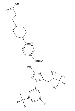 CN(Cc1sc(NC(=O)c2cnc(N3CCN(CCC(=O)O)CC3)cn2)nc1-c1cc(F)cc(C(F)(F)F)c1)C(C)(C)C